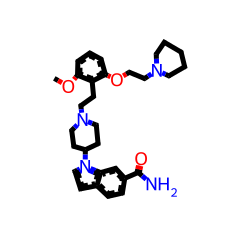 COc1cccc(OCCN2CCCCC2)c1CCN1CCC(n2ccc3ccc(C(N)=O)cc32)CC1